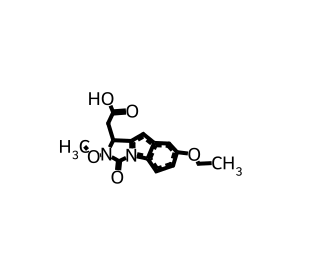 CCOc1ccc2c(c1)cc1n2C(=O)N(OC)C1CC(=O)O